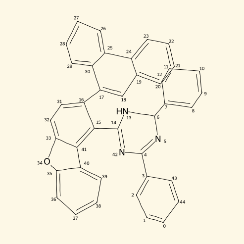 c1ccc(C2=NC(c3ccccc3)NC(c3c(-c4cc5ccccc5c5ccccc45)ccc4oc5ccccc5c34)=N2)cc1